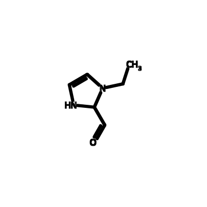 CCN1C=CNC1C=O